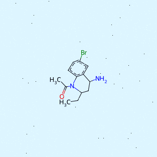 CCC1CC(N)c2cc(Br)ccc2N1C(C)=O